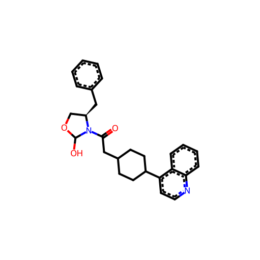 O=C(CC1CCC(c2ccnc3ccccc23)CC1)N1C(O)OC[C@H]1Cc1ccccc1